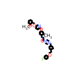 COc1ccccc1COc1ccc(Oc2ccc(/C=C/C(=O)N3CCN(Cc4ccc(CCOc5ccc(F)cc5)cc4)CC3)c(C)c2)nc1